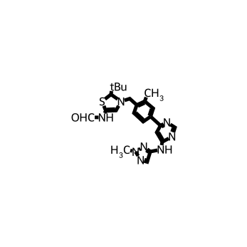 Cc1cc(-c2cc(Nc3cnn(C)n3)ncn2)ccc1CN1C=C(NC=O)SC1C(C)(C)C